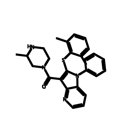 Cc1cccc(C)c1Sc1c(C(=O)N2CCNC(C)C2)c2ncccc2n1-c1ccccc1